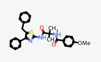 COc1ccc(C(=O)NC(C)(C)C(=O)Nc2nc(-c3ccccc3)c(Cc3ccccc3)s2)cc1